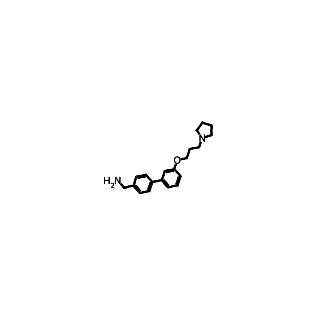 NCc1ccc(-c2cccc(OCCCN3CCCC3)c2)cc1